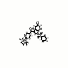 C[Si]1(C)CC[Si](C)(C)N1c1ccc(C(O)c2cn(S(=O)(=O)c3ccccc3)c3ncc(Cl)cc23)cn1